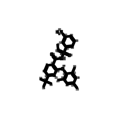 CN=S(=O)(NC(=O)c1ccc(C(C)(C)C)nc1Oc1c(C)cc(C)cc1C)c1cccc(N)c1